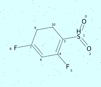 O=[SH](=O)C1=C(F)C=C(F)CC1